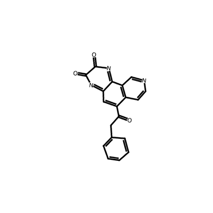 O=C1N=c2cc(C(=O)Cc3ccccc3)c3ccncc3c2=NC1=O